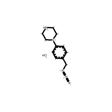 Cl.[N-]=[N+]=NCc1ccc(N2CCNCC2)cc1